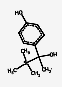 [CH2]C(O)(c1ccc(O)cc1)[Si](C)(C)C